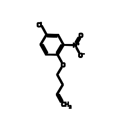 C=CCCOc1ccc(Cl)cc1[N+](=O)[O-]